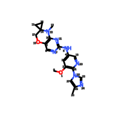 COc1cc(Nc2ncc3c(n2)N(C)C2(CC2)CO3)cnc1-n1cnc(C)c1